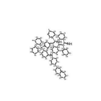 N=C(/C(=C1\NC(c2ccccc2)=Cc2cc(N(c3ccc(-c4ccc5ccccc5c4)cc3)c3ccc4c(c3)C(c3ccccc3)(c3ccccc3)c3ccccc3-4)ccc21)c1ccccc1)c1ccccc1